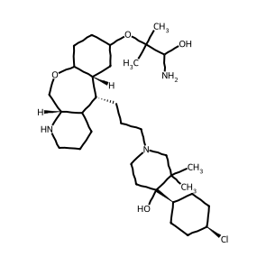 CC(C)(OC1CCC2OC[C@H]3NCCCC3[C@@H](CCCN3CCC(O)([C@H]4CC[C@@H](Cl)CC4)C(C)(C)C3)[C@H]2C1)C(N)O